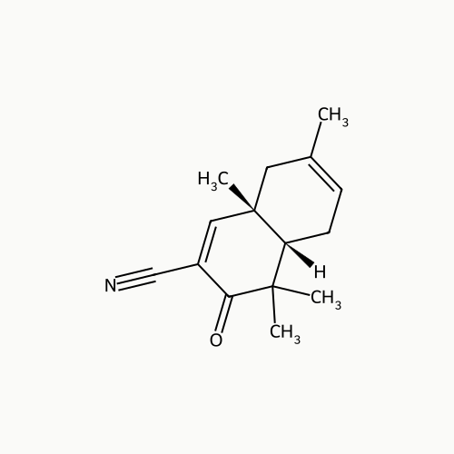 CC1=CC[C@@H]2C(C)(C)C(=O)C(C#N)=C[C@]2(C)C1